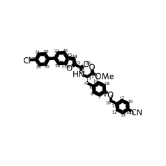 COC(=O)[C@H](Cc1ccc(OCc2ccc(C#N)cc2)cc1)NC(=O)c1cc2ccc(-c3ccc(Cl)cc3)cc2o1